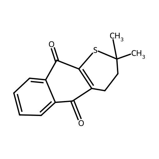 CC1(C)CCC2=C(S1)C(=O)c1ccccc1C2=O